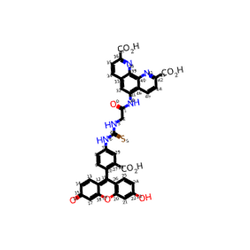 O=C(CNC(=S)Nc1ccc(-c2c3ccc(=O)cc-3oc3cc(O)ccc23)c(C(=O)O)c1)Nc1cc2ccc(C(=O)O)nc2c2nc(C(=O)O)ccc12